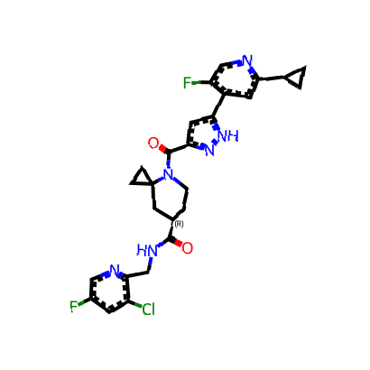 O=C(NCc1ncc(F)cc1Cl)[C@@H]1CCN(C(=O)c2cc(-c3cc(C4CC4)ncc3F)[nH]n2)C2(CC2)C1